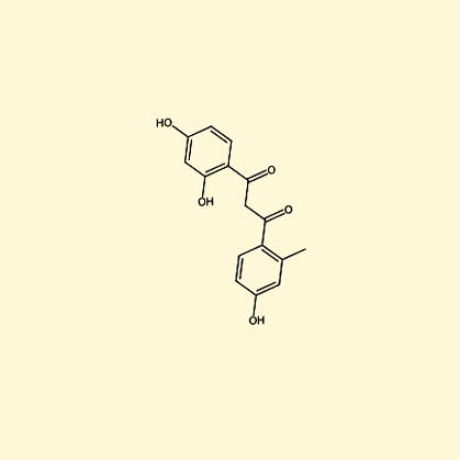 Cc1cc(O)ccc1C(=O)CC(=O)c1ccc(O)cc1O